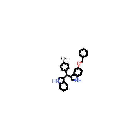 FC(F)(F)c1ccc(C(c2c[nH]c3ccccc23)c2c[nH]c3ccc(OCc4ccccc4)cc23)cc1